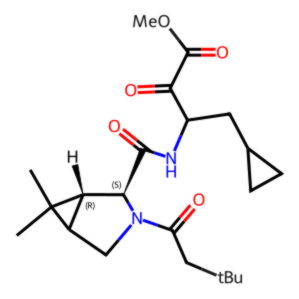 COC(=O)C(=O)C(CC1CC1)NC(=O)[C@@H]1[C@@H]2C(CN1C(=O)CC(C)(C)C)C2(C)C